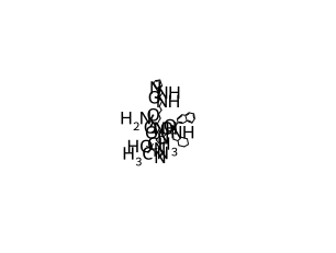 CC(C)(O)c1cnnn1[C@H]1C[C@@H](C(=O)NC(CCCCNC(=O)Nc2ccccn2)C(=O)C(N)=O)N(C(=O)C(CC2CCCCC2)NC(=O)c2ccc3ccccc3c2)C1